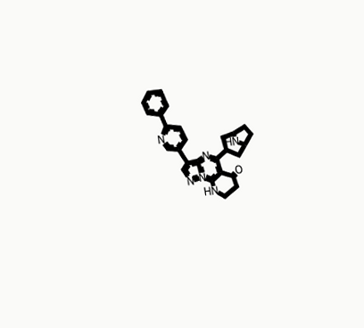 O=C1CCNc2c1c(C1CC3CCC(C1)N3)nc1c(-c3ccc(-c4ccccc4)nc3)cnn21